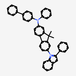 CC1(C)c2cc(N(c3ccccc3)c3ccc(-c4ccccc4)cc3)ccc2-c2ccc(-n3c(-c4ccccc4)cc4ccccc43)cc21